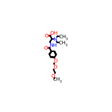 CCN(CC)C(CNC(=O)c1ccc(OCOCCOC)cc1)C(=O)O